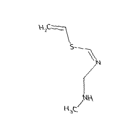 C=CS/C=N\CNC